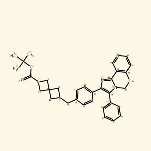 CC(C)(C)OC(=O)N1CC2(CN(Cc3ccc(-c4nc5n(c4-c4ccccc4)COc4ccncc4-5)cc3)C2)C1